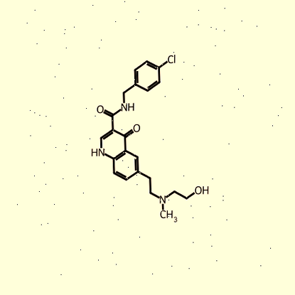 CN(CCO)CCc1ccc2[nH]cc(C(=O)NCc3ccc(Cl)cc3)c(=O)c2c1